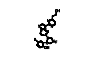 OCCc1ccnc(-c2cnc3ccc(N4C[C@@H](F)C[C@@H]4c4cc(F)ccc4O)nn23)n1